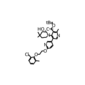 Cc1cccc(Cl)c1OCCOc1ccc(-c2cnc(C)c([C@H](OC(C)(C)C)C(=O)O)c2N2CCC(C)(C)CC2)cn1